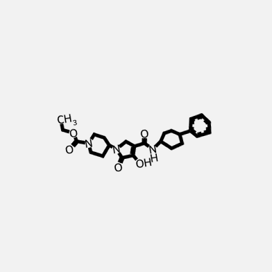 CCOC(=O)N1CCC(N2CC(C(=O)NC3CCC(c4ccccc4)CC3)=C(O)C2=O)CC1